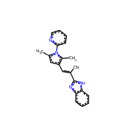 Cc1cc(C=C(C#N)c2nc3ccccc3[nH]2)c(C)n1-c1ccccn1